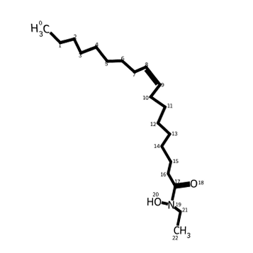 CCCCCCCC/C=C\CCCCCCCC(=O)N(O)CC